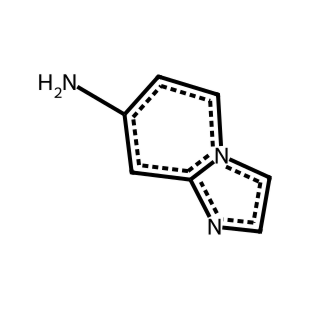 Nc1ccn2ccnc2c1